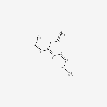 C=CCC(/C=C\C)=N\C=C/CC